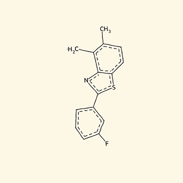 [CH2]c1c(C)ccc2sc(-c3cccc(F)c3)nc12